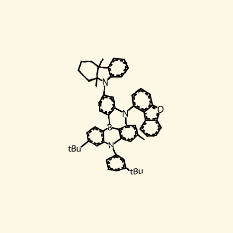 Cc1cc2c3c(c1)N(c1cccc4oc5ccccc5c14)c1cc(N4c5ccccc5C5(C)CCCCC45C)ccc1B3c1ccc(C(C)(C)C)cc1N2c1cccc(C(C)(C)C)c1